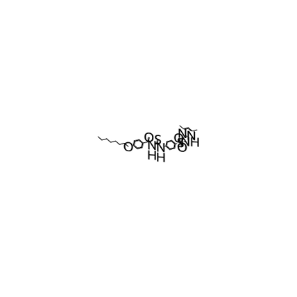 CCCCCCCOc1ccc(C(=O)NC(=S)Nc2ccc(S(=O)(=O)Nc3nc(C)cc(C)n3)cc2)cc1